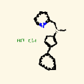 Cl.Cl.[CH3][Cr]([CH2]c1ccccn1)[C]1=CC(c2ccccc2)=CC1